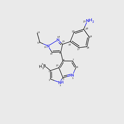 Bc1c[nH]c2nccc(-c3cn(CC)nc3-c3cccc(N)c3)c12